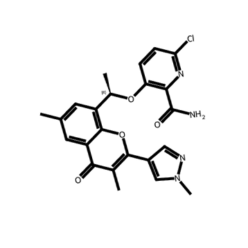 Cc1cc([C@@H](C)Oc2ccc(Cl)nc2C(N)=O)c2oc(-c3cnn(C)c3)c(C)c(=O)c2c1